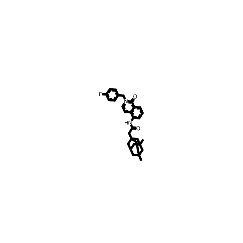 CC12CC3CC(C)(C1)CC(CC(=O)Nc1cccc4c(=O)n(Cc5ccc(F)cc5)ccc14)(C3)C2